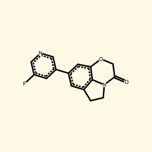 O=C1COc2cc(-c3cncc(F)c3)cc3c2N1CC3